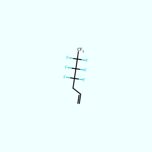 C=CCC(F)(F)C(F)(F)C(F)(F)C(F)(F)F